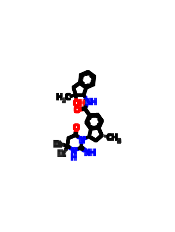 CCC1(CC)CC(=O)N([C@@H]2C[C@@H](C)c3ccc(C(=O)N[C@@H]4c5ccccc5C[C@@]4(C)O)cc32)C(=N)N1